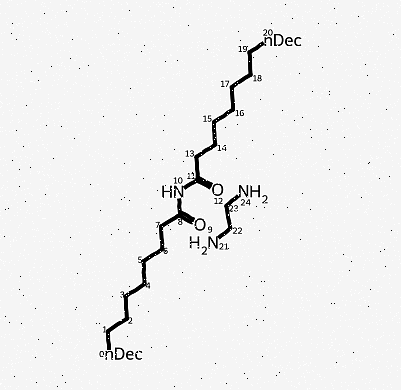 CCCCCCCCCCCCCCCCCC(=O)NC(=O)CCCCCCCCCCCCCCCCC.NCCN